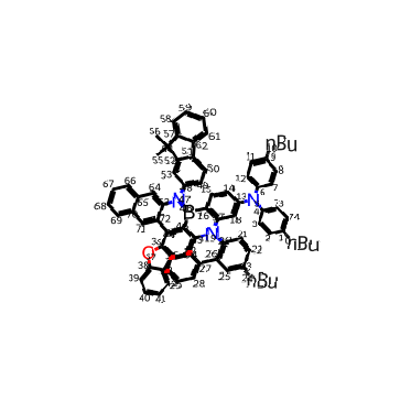 CCCCc1ccc(N(c2ccc(CCCC)cc2)c2ccc3c(c2)N(c2ccc(CCCC)cc2-c2ccccc2)c2cc4c(oc5ccccc54)c4c2B3N(c2ccc3c(c2)C(C)(C)c2ccccc2-3)c2cc3ccccc3cc2-4)cc1